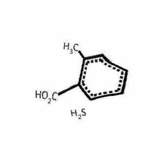 Cc1ccccc1C(=O)O.S